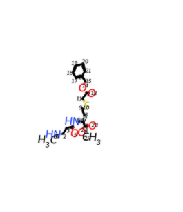 CNCCC(=O)N[C@@H](CCSCC(=O)OCc1ccccc1)C(=O)OC